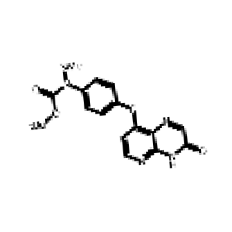 CSN(C(=O)OC(C)(C)C)c1ccc(Oc2ccnc3[nH]c(=O)cnc23)cc1